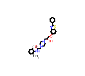 Cc1cccc(C)c1NC(=O)CN1CCN(CC(O)COc2ccc3sc(C4CCCCC4)nc3c2)CC1